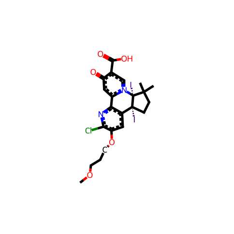 COCCCOc1cc2c(nc1Cl)-c1cc(=O)c(C(=O)O)cn1[C@@]1(I)C(C)(C)CC[C@@]21I